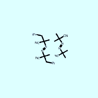 CC(C)(C#N)N=NC(C)(C)C#N.CC(C)CC(C)(C#N)N=NC(C)(C#N)CC(C)C